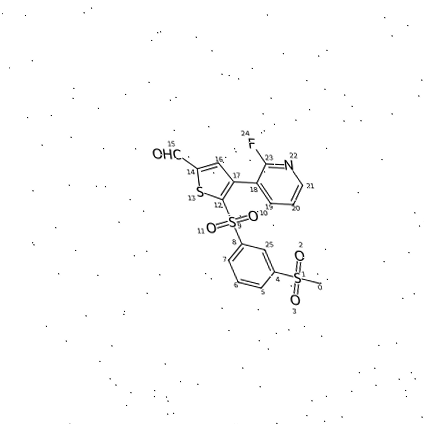 CS(=O)(=O)c1cccc(S(=O)(=O)c2sc(C=O)cc2-c2cccnc2F)c1